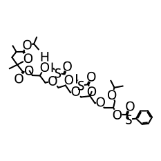 CC(C)OCC(COCC(COCC(COCC(O)COC(=O)C(C)(C)CC(C)C(=O)OC(C)C)OC(=O)SI)OC(=O)SI)OC(=O)Sc1ccccc1